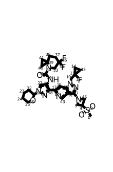 CS(=O)(=O)C1CN(c2nn(CC3(F)CC3)c3cc(-c4nn(C5CCCCO5)cc4NC(=O)N4CC(F)(F)CCC45CC5)ncc23)C1